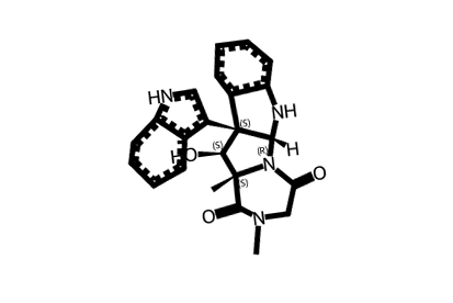 CN1CC(=O)N2[C@H]3Nc4ccccc4[C@@]3(c3c[nH]c4ccccc34)[C@H](O)[C@@]2(C)C1=O